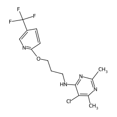 Cc1nc(C)c(Cl)c(NCCCOc2ccc(C(F)(F)F)cn2)n1